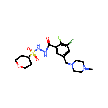 CN1CCN(Cc2cc(Cl)c(F)c(C(=O)NNS(=O)(=O)C3CCOCC3)c2)CC1